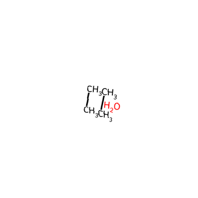 CC.CC.O